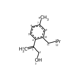 C=C(CO)c1ccc(C)cc1CC(C)C